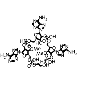 COC1C(OP(=O)(O)S)[C@H](n2cnc3c(N)ncnc32)O[C@@H]1COP(=O)(O)OC1C(O)[C@@H](COP(=O)(O)OC2C(OC)[C@@H](COP(=O)(O)OCCO)O[C@H]2n2cnc3c(N)ncnc32)O[C@H]1n1cnc2c(N)ncnc21